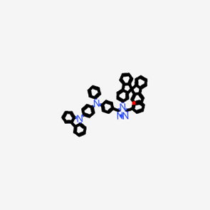 c1ccc(-c2nnc(-c3ccc(N(c4ccccc4)c4ccc(-n5c6ccccc6c6ccccc65)cc4)cc3)n2-c2ccc3c(c2)C2(c4ccccc4-c4ccccc42)c2ccccc2-3)cc1